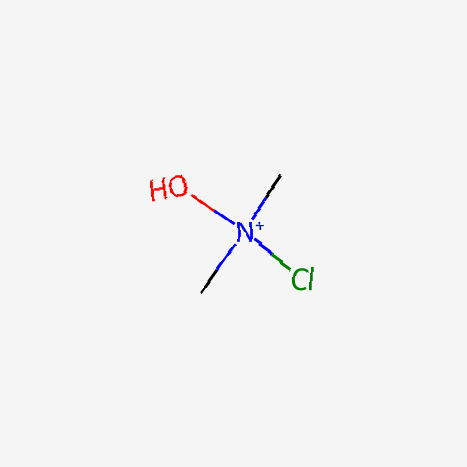 C[N+](C)(O)Cl